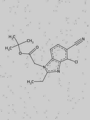 CCc1nc2c(Cl)c(C#N)ccc2n1CC(=O)OC(C)(C)C